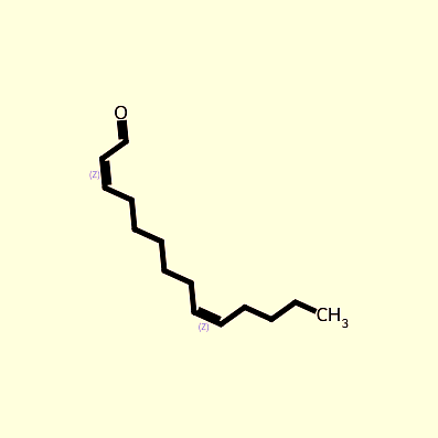 CCCC/C=C\CCCCC/C=C\C=O